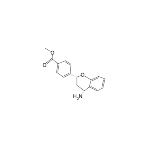 COC(=O)c1ccc([C@H]2C[C@@H](N)c3ccccc3O2)cc1